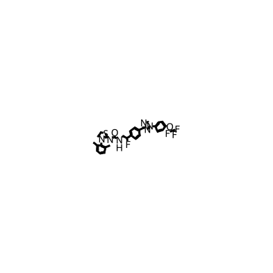 Cc1cccc(C)c1N1CCS/C1=N\C(=O)NCC(F)c1ccc(-c2ncn(-c3ccc(OC(F)(F)F)cc3)n2)cc1